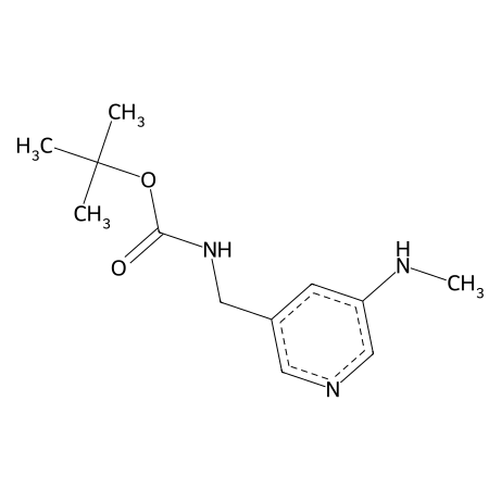 CNc1cncc(CNC(=O)OC(C)(C)C)c1